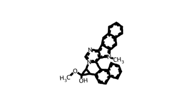 COC1(O)C2c3ccc4ccccc4c3-c3c4c(nc[n+]3C21)c1cc2ccccc2cc1n4C